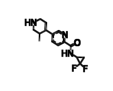 CC1CNCC=C1c1ccc(C(=O)NC2CC2(F)F)nc1